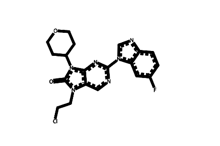 O=c1n(CCCl)c2cnc(-n3cnc4ccc(F)cc43)nc2n1C1CCOCC1